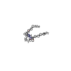 CCCOCCOCCOCCOCCN1/C(=C/C=C\C=C/C2=[N+](CCOCCOCCOC)c3ccccc3C2(C)C)C(C)(C)c2ccccc21